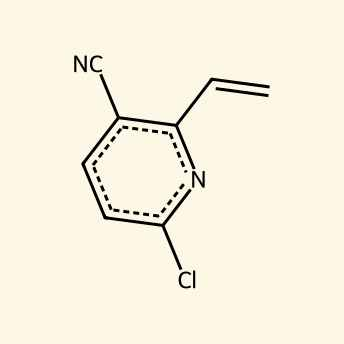 C=Cc1nc(Cl)ccc1C#N